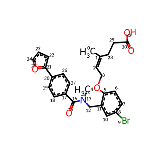 CC(=CCOc1ccc(Br)cc1CN(C)C(=O)c1ccc(-c2ccco2)cc1)CCC(=O)O